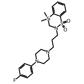 C[Si]1(C)CN(CCCN2CCN(c3ccc(F)cc3)CC2)S(=O)(=O)c2ccccc21